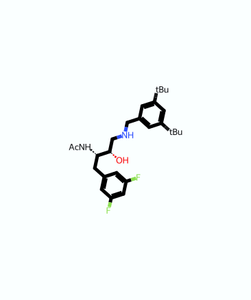 CC(=O)N[C@@H](Cc1cc(F)cc(F)c1)[C@@H](O)CNCc1cc(C(C)(C)C)cc(C(C)(C)C)c1